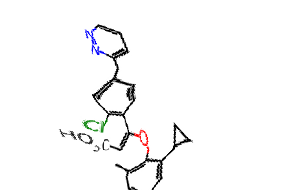 Cc1cccc(C2CC2)c1OC(=CC(=O)O)c1ccc(-c2cccnn2)cc1Cl